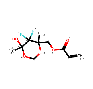 C=CC(=O)OCC1(C)OCOC(O)(C(F)(F)F)C1(F)F